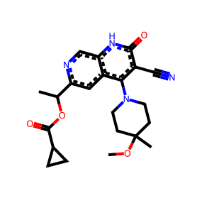 COC1(C)CCN(c2c(C#N)c(=O)[nH]c3cnc(C(C)OC(=O)C4CC4)cc23)CC1